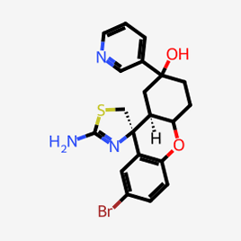 NC1=N[C@]2(CS1)c1cc(Br)ccc1OC1CCC(O)(c3cccnc3)C[C@@H]12